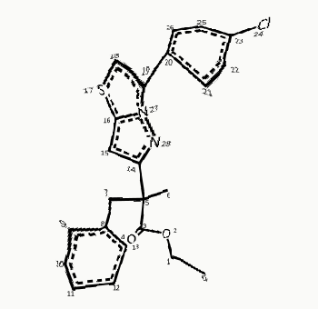 CCOC(=O)C(C)(Cc1ccccc1)c1cc2scc(-c3ccc(Cl)cc3)n2n1